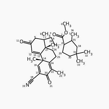 COC(=O)[C@]1(CC[C@]2(C)CC(=O)C=C3[C@@]4(C)C=C(C#N)C(=O)C(C)=C4CC[C@]32C)CCC(C)(C)CC1C